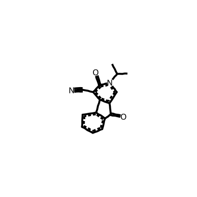 CC(C)n1cc2c(c(C#N)c1=O)-c1ccccc1C2=O